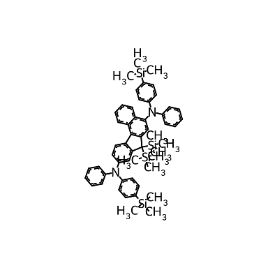 C[Si](C)(C)c1ccc(N(c2ccccc2)c2ccc3c(c2)C([Si](C)(C)C)([Si](C)(C)C)c2cc(N(c4ccccc4)c4ccc([Si](C)(C)C)cc4)c4ccccc4c2-3)cc1